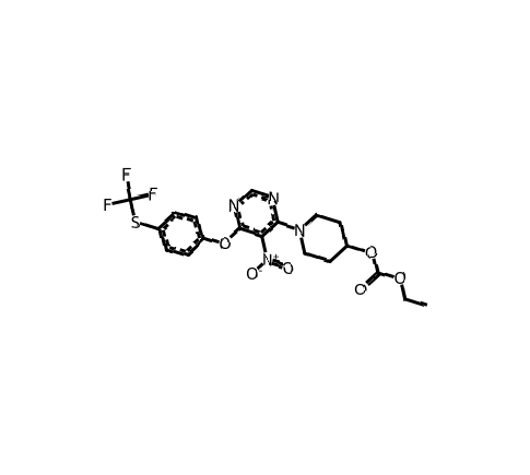 CCOC(=O)OC1CCN(c2ncnc(Oc3ccc(SC(F)(F)F)cc3)c2[N+](=O)[O-])CC1